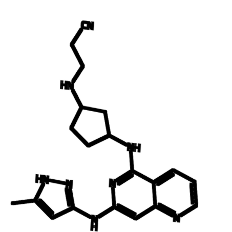 Cc1cc(Nc2cc3ncccc3c(NC3CCC(NCCC#N)C3)n2)n[nH]1